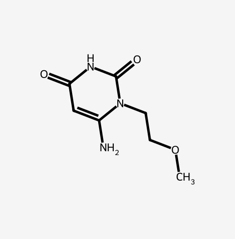 COCCn1c(N)cc(=O)[nH]c1=O